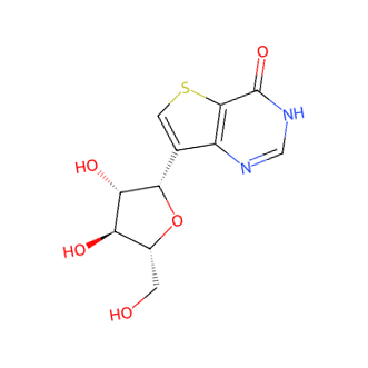 O=c1[nH]cnc2c([C@@H]3O[C@H](CO)[C@@H](O)[C@@H]3O)csc12